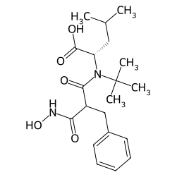 CC(C)C[C@@H](C(=O)O)N(C(=O)C(Cc1ccccc1)C(=O)NO)C(C)(C)C